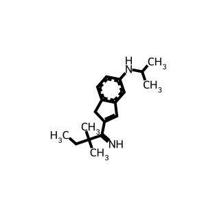 CCC(C)(C)C(=N)C1=Cc2cc(NC(C)C)ccc2C1